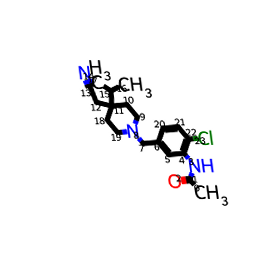 CC(=O)Nc1cc(CN2CCC(CC#N)(C(C)C)CC2)ccc1Cl